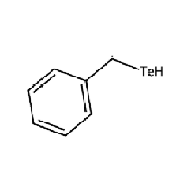 [TeH][CH]c1ccccc1